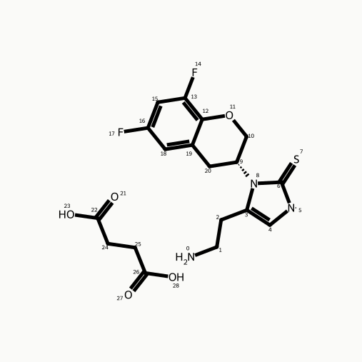 NCCC1=C[N]C(=S)N1[C@H]1COc2c(F)cc(F)cc2C1.O=C(O)CCC(=O)O